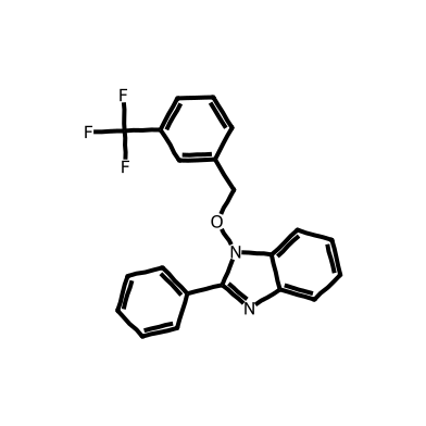 FC(F)(F)c1cccc(COn2c(-c3ccccc3)nc3ccccc32)c1